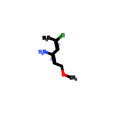 COC/C=C(N)\C=C(/C)Cl